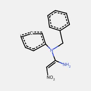 N/C(=C\[N+](=O)[O-])N(Cc1ccccc1)c1ccccc1